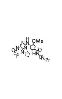 COc1cc(C(=O)NC2CN(C(C)C)C2)ccc1Nc1ncc2c(n1)N(C1CCCC1)CC(F)(F)C(=O)N2C